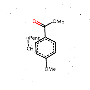 CCCCCC.COC(=O)c1ccc(OC)cc1